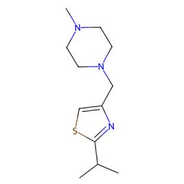 CC(C)c1nc(CN2CCN(C)CC2)cs1